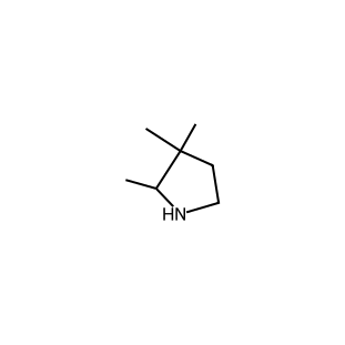 CC1NCCC1(C)C